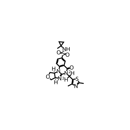 [2H]C([2H])(c1sc(C)nc1C)N1C(=O)c2cc(S(=O)(=O)NC3(C)CC3)ccc2N2C1=N[C@H]1COC[C@H]12